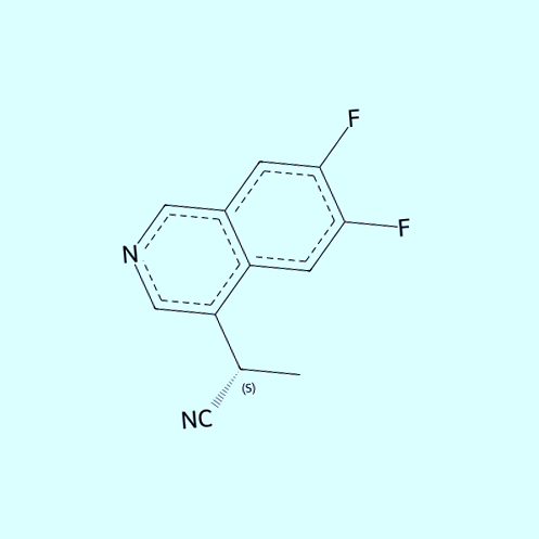 C[C@H](C#N)c1cncc2cc(F)c(F)cc12